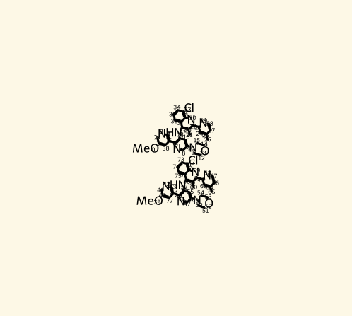 COc1cncc(-c2ncc(N3CCOCC3)cc2Nc2c(C)c(-c3cc(C)ccn3)nc3c(Cl)cccc23)c1.COc1cncc(-c2ncc(N3CCOCC3)cc2Nc2c(C)c(-c3cc(C)ccn3)nc3c(Cl)cccc23)c1